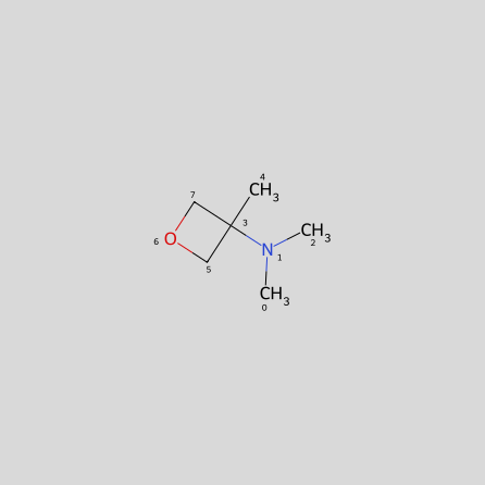 CN(C)C1(C)COC1